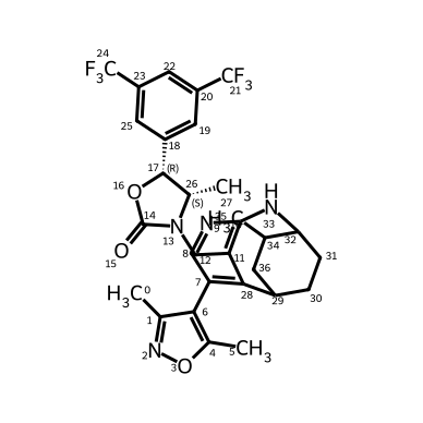 Cc1noc(C)c1-c1cnc2c(CN3C(=O)O[C@H](c4cc(C(F)(F)F)cc(C(F)(F)F)c4)[C@@H]3C)c1C1CCC(N2)C(C)C1